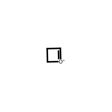 C1=[O+]CC1